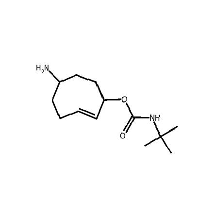 CC(C)(C)NC(=O)OC1/C=C/CCC(N)CC1